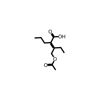 CCCC(C(=O)O)=C(CC)COC(C)=O